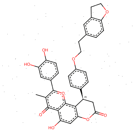 Cc1c(-c2ccc(O)c(O)c2)oc2c3c(cc(O)c2c1=O)OC(=O)C[C@@H]3c1ccc(OCCc2ccc3c(c2)CCO3)cc1